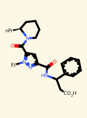 CCC[C@H]1CCCCN1C(=O)c1cc(C(=O)NC(CC(=O)O)c2ccccc2)nn1CC